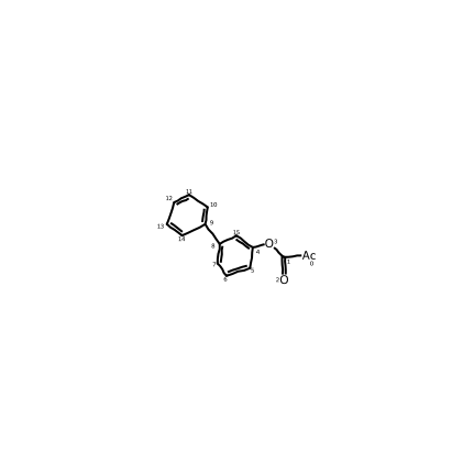 CC(=O)C(=O)Oc1cccc(-c2ccccc2)c1